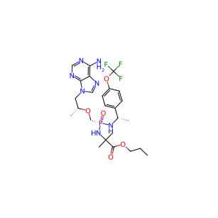 CCCOC(=O)C(C)(C)N[P@](=O)(CO[C@H](C)Cn1cnc2c(N)ncnc21)N[C@@H](C)c1ccc(OC(F)(F)F)cc1